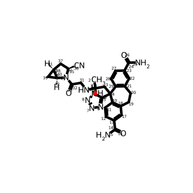 CC(C)(CC1(c2nnn[nH]2)c2ccc(C(N)=O)cc2CCc2cc(C(N)=O)ccc21)NCC(=O)N1[C@H](C#N)C[C@@H]2C[C@@H]21